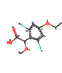 CCOc1cc(F)c(C(OC)C(=O)O)c(F)c1